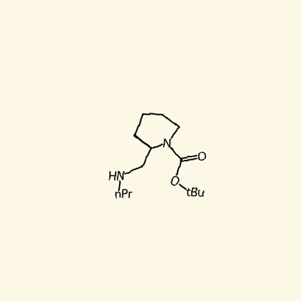 CCCNCC1CCCCN1C(=O)OC(C)(C)C